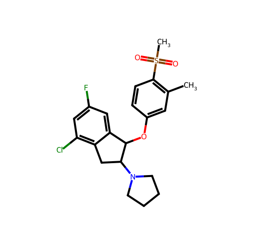 Cc1cc(OC2c3cc(F)cc(Cl)c3CC2N2CCCC2)ccc1S(C)(=O)=O